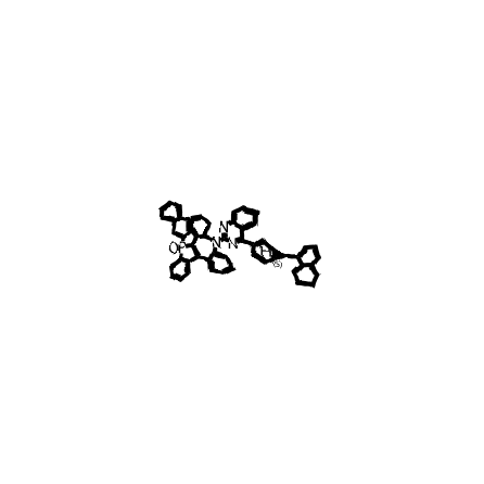 O=P1(c2ccc3ccccc3c2)C2=C(c3ccccc3N(c3nc(C4=CC5=C(c6cccc7ccccc67)[C@H]5C=C4)c4ccccc4n3)C3CC=CC=C23)c2ccccc21